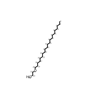 CCCCCCCCCCCCCCCCCCCCCOCCO